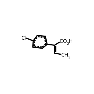 C/C=C(\C(=O)O)c1ccc(Cl)cc1